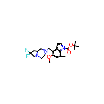 COc1cc(C)c2c(ccn2C(=O)OC(C)(C)C)c1CN1CCN2CC(F)(F)CC2C1